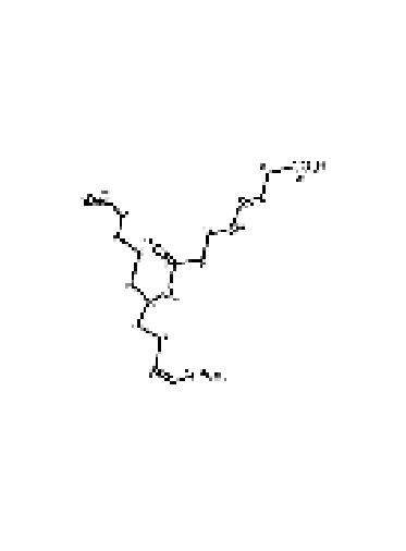 CCCCC/C=C\CCC(CCCCCCCCCCCCCC)OC(=O)CCSSCCC(=O)O